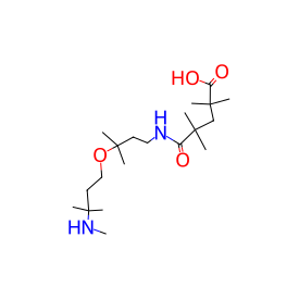 CNC(C)(C)CCOC(C)(C)CCNC(=O)C(C)(C)CC(C)(C)C(=O)O